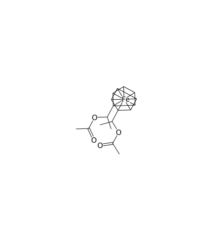 CC(=O)OC(C)[C]12[CH]3[CH]4[CH]5[CH]1[Fe]45321678[CH]2[CH]1[CH]6[C]7(C(C)OC(C)=O)[CH]28